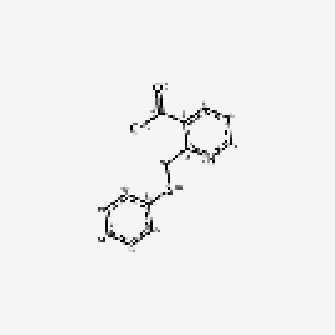 O=C(Cl)c1cccnc1CSc1ccccc1